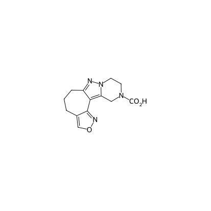 O=C(O)N1CCn2nc3c(c2C1)-c1nocc1CCC3